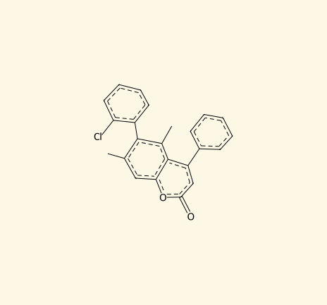 Cc1cc2oc(=O)cc(-c3ccccc3)c2c(C)c1-c1ccccc1Cl